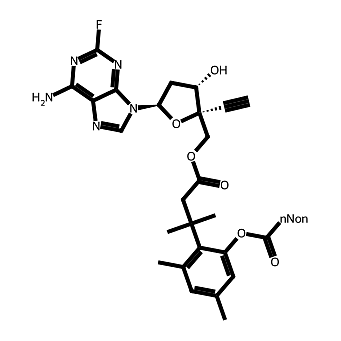 C#C[C@]1(COC(=O)CC(C)(C)c2c(C)cc(C)cc2OC(=O)CCCCCCCCC)O[C@@H](n2cnc3c(N)nc(F)nc32)C[C@@H]1O